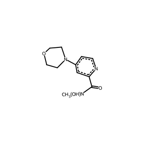 CN(O)C(=O)c1cc(N2CCOCC2)ccn1